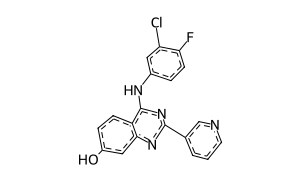 Oc1ccc2c(Nc3ccc(F)c(Cl)c3)nc(-c3cccnc3)nc2c1